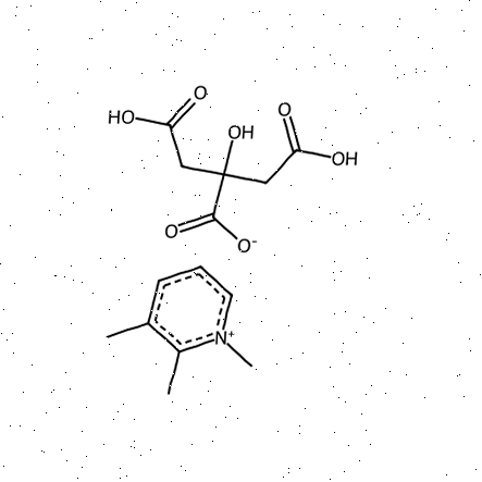 Cc1ccc[n+](C)c1C.O=C(O)CC(O)(CC(=O)O)C(=O)[O-]